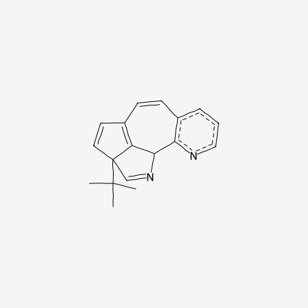 CC(C)(C)C12C=CC3=C1C(N=C2)c1ncccc1C=C3